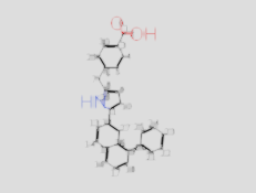 O=C(O)c1ccc(Cc2ccc(-c3ccc4cccc(-c5ccccc5)c4c3)[nH]2)cc1